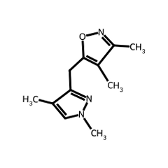 Cc1cn(C)nc1Cc1onc(C)c1C